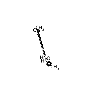 CC(=O)OSCCCCCCCCCSCCCNC(=O)Nc1ccc(C)cc1